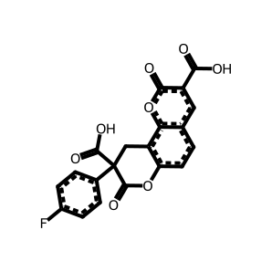 O=C(O)c1cc2ccc3c(c2oc1=O)CC(C(=O)O)(c1ccc(F)cc1)C(=O)O3